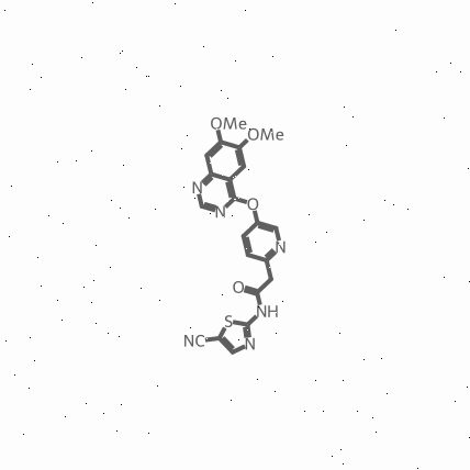 COc1cc2ncnc(Oc3ccc(CC(=O)Nc4ncc(C#N)s4)nc3)c2cc1OC